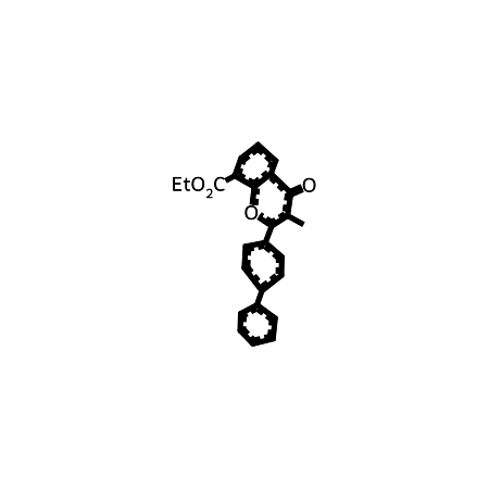 CCOC(=O)c1cccc2c(=O)c(C)c(-c3ccc(-c4ccccc4)cc3)oc12